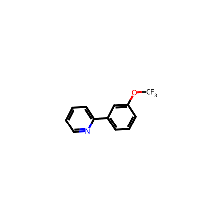 FC(F)(F)Oc1cccc(-c2ccccn2)c1